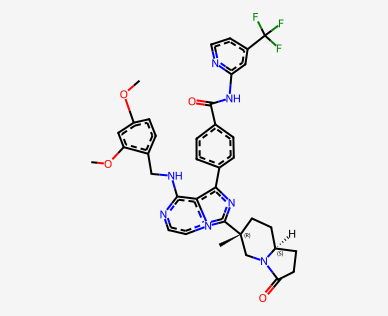 COc1ccc(CNc2nccn3c([C@]4(C)CC[C@H]5CCC(=O)N5C4)nc(-c4ccc(C(=O)Nc5cc(C(F)(F)F)ccn5)cc4)c23)c(OC)c1